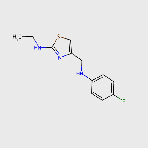 CCNc1nc(CNc2ccc(F)cc2)cs1